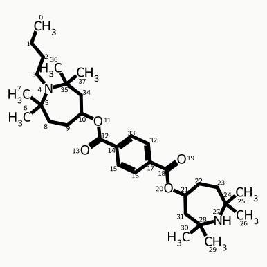 CCCCN1C(C)(C)CCC(OC(=O)c2ccc(C(=O)OC3CCC(C)(C)NC(C)(C)C3)cc2)CC1(C)C